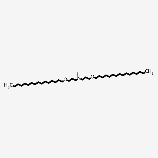 CCCCCCCCCCCCCCCCOCCCNCCCOCCCCCCCCCCCCCCCC